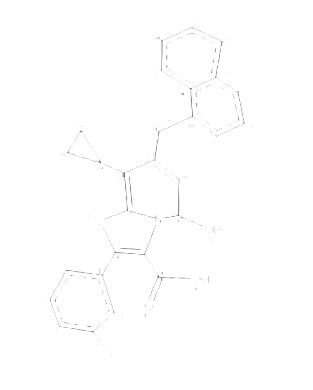 Cc1cccc(C2=C(C(=O)O)N3C(=C(C4CC4)C(Cc4cccc5ccccc45)=CC3O)S2)c1